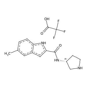 Cc1ccc2[nH]c(C(=O)N[C@@H]3CCNC3)cc2c1.O=C(O)C(F)(F)F